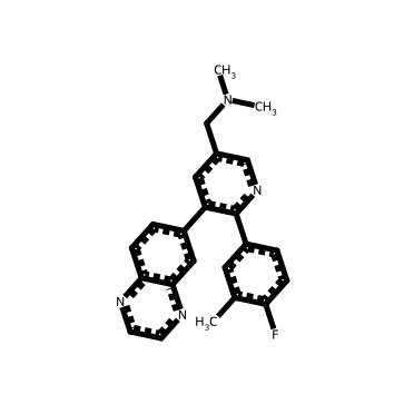 Cc1cc(-c2ncc(CN(C)C)cc2-c2ccc3nccnc3c2)ccc1F